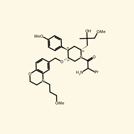 COCCCN1CCOc2ccc(CO[C@H]3CN(C(=O)C(N)C(C)C)[C@@H](CC(C)(O)COC)C[C@@H]3c3ccc(OC)cc3)cc21